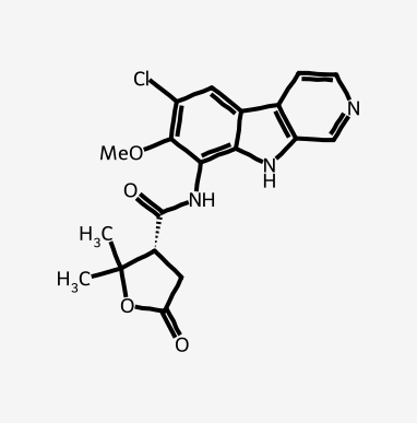 COc1c(Cl)cc2c([nH]c3cnccc32)c1NC(=O)[C@@H]1CC(=O)OC1(C)C